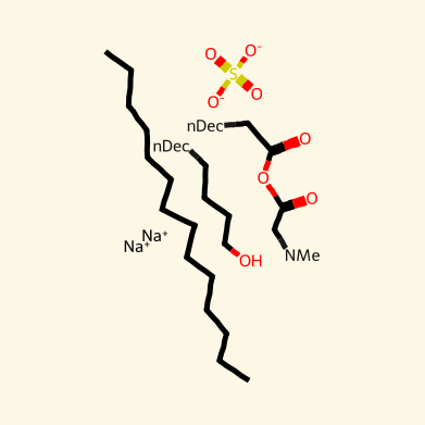 CCCCCCCCCCCC(=O)OC(=O)CNC.CCCCCCCCCCCCCC.CCCCCCCCCCCCCCO.O=S(=O)([O-])[O-].[Na+].[Na+]